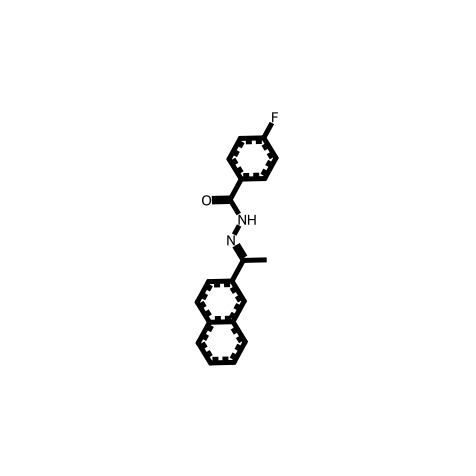 CC(=NNC(=O)c1ccc(F)cc1)c1ccc2ccccc2c1